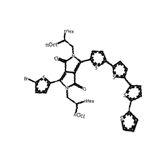 CCCCCCCCC(CCCCCC)CN1C(=O)C2=C(c3ccc(-c4ccc(-c5ccc(-c6cccs6)s5)s4)s3)N(CC(CCCCCC)CCCCCCCC)C(=O)C2=C1c1ccc(Br)s1